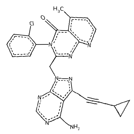 Cc1ccnc2nc(Cn3nc(C#CC4CC4)c4c(N)ncnc43)n(-c3ccccc3Cl)c(=O)c12